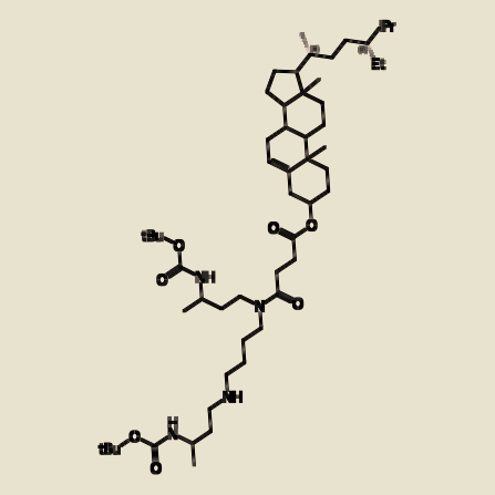 CC[C@H](CC[C@@H](C)C1CCC2C3CC=C4CC(OC(=O)CCC(=O)N(CCCCNCCC(C)NC(=O)OC(C)(C)C)CCC(C)NC(=O)OC(C)(C)C)CCC4(C)C3CCC21C)C(C)C